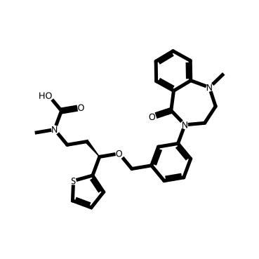 CN(CC[C@@H](OCc1cccc(N2CCN(C)c3ccccc3C2=O)c1)c1cccs1)C(=O)O